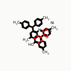 CC(=Nc1c(C(c2ccc(C)cc2)c2ccc(C)cc2)cc(C)cc1C(c1ccc(C)cc1)c1ccc(C)cc1)C(=O)c1ccc(O)cc1.[Ni]